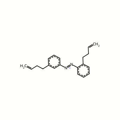 C=CCCc1cccc(/N=N/c2ccccc2CCC=C)c1